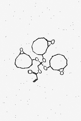 C=CC(=O)OCC(OC1CCCCCCC2OC2C1)(OC1CCCCCCC2OC2C1)OC1CCCCCCC2OC2C1